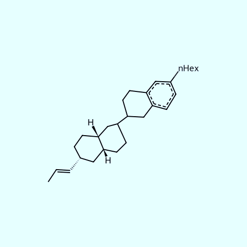 CC=C[C@@H]1CC[C@@H]2CC(C3CCc4cc(CCCCCC)ccc4C3)CC[C@@H]2C1